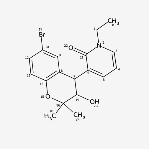 CCn1cccc(C2c3cc(Br)ccc3OC(C)(C)C2O)c1=O